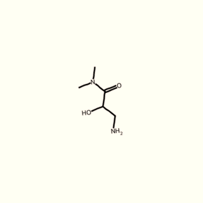 CN(C)C(=O)C(O)CN